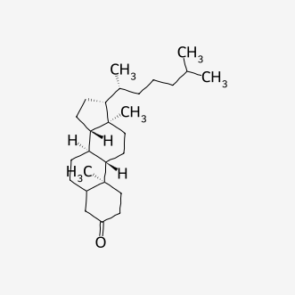 CC(C)CCC[C@@H](C)[C@H]1CC[C@H]2[C@@H]3CCC4CC(=O)CC[C@]4(C)[C@H]3CC[C@]12C